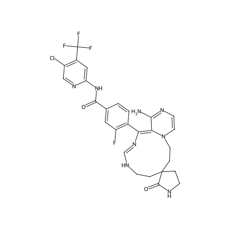 NC1=NC=CN2CCC3(CCN/C=N/C(c4ccc(C(=O)Nc5cc(C(F)(F)F)c(Cl)cn5)cc4F)=C/12)CCNC3=O